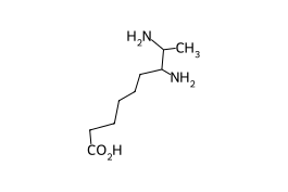 CC(N)C(N)CCCCCC(=O)O